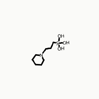 O[Si](O)(O)CCCN1CCCCC1